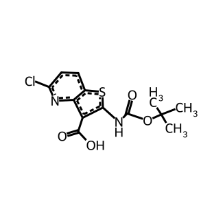 CC(C)(C)OC(=O)Nc1sc2ccc(Cl)nc2c1C(=O)O